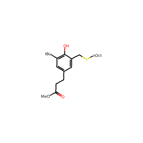 CCCCCCCCSCc1cc(CCC(=O)OC)cc(C(C)(C)C)c1O